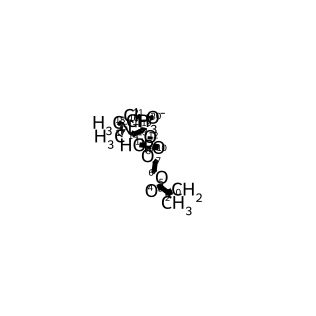 C=C(C)C(=O)OCCOP(=O)(O)O/C(C[N+](C)(C)C)=[P+](\[O-])Cl